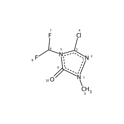 Cn1nc(Cl)n(C(F)F)c1=O